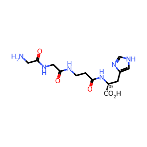 NCC(=O)NCC(=O)NCCC(=O)N[C@@H](Cc1c[nH]cn1)C(=O)O